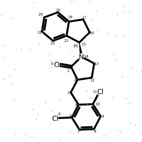 O=C1C(Cc2c(Cl)cccc2Cl)CCN1[C@@H]1CCc2ccccc21